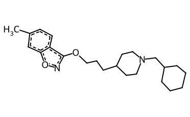 Cc1ccc2c(OCCCC3CCN(CC4CCCCC4)CC3)noc2c1